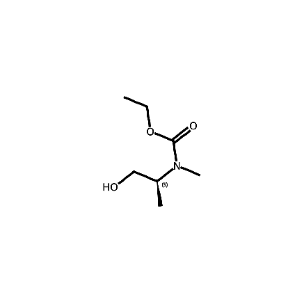 CCOC(=O)N(C)[C@@H](C)CO